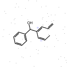 C=C/C=C(\C=C/C)C(O)c1ccccc1